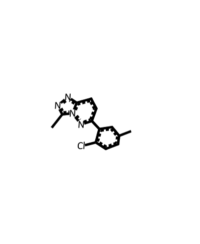 Cc1ccc(Cl)c(-c2ccc3nnc(C)n3n2)c1